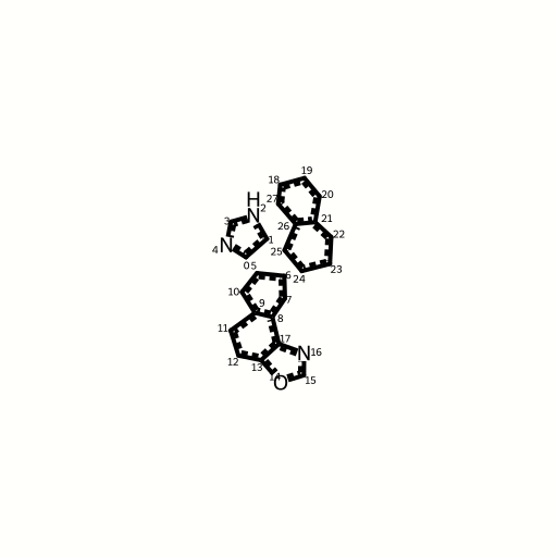 c1c[nH]cn1.c1ccc2c(c1)ccc1ocnc12.c1ccc2ccccc2c1